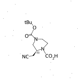 CC(C)(C)OC(=O)N1CCN(C(=O)O)[C@@H](CC#N)C1